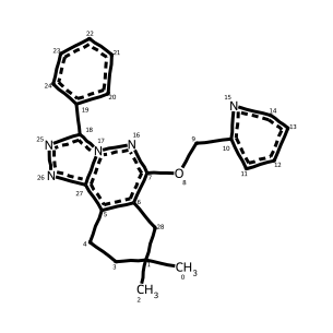 CC1(C)CCc2c(c(OCc3ccccn3)nn3c(-c4ccccc4)nnc23)C1